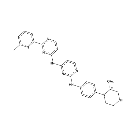 CC(=O)O[C@@H]1CNCCN1c1ccc(Nc2nccc(Nc3ccnc(-c4cccc(C)n4)n3)n2)cc1